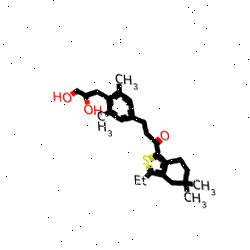 CCc1sc(C(=O)CCc2cc(C)c(CC(O)CO)c(C)c2)c2c1CC(C)(C)CC2